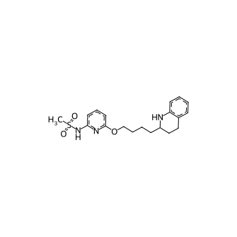 CS(=O)(=O)Nc1cccc(OCCCCC2CCc3ccccc3N2)n1